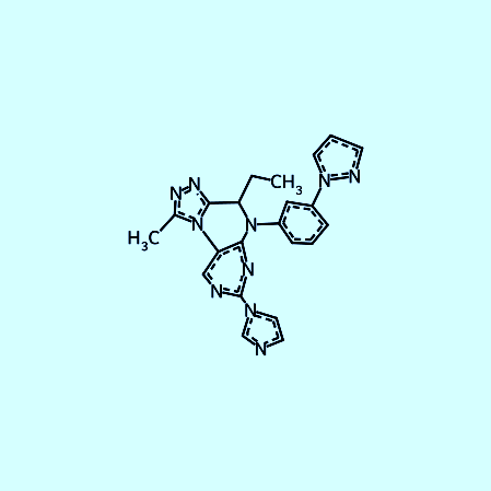 CCC1c2nnc(C)n2-c2cnc(-n3ccnc3)nc2N1c1cccc(-n2cccn2)c1